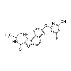 CC1CNc2c(oc3ccc4nc(Oc5cc(F)nc(O)n5)ccc4c23)C(=O)N1